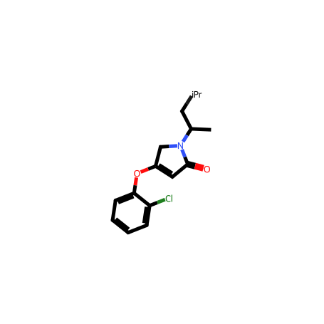 CC(C)CC(C)N1CC(Oc2ccccc2Cl)=CC1=O